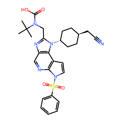 CC(C)(C)N(Cc1nc2cnc3c(ccn3S(=O)(=O)c3ccccc3)c2n1[C@H]1CC[C@H](CC#N)CC1)C(=O)O